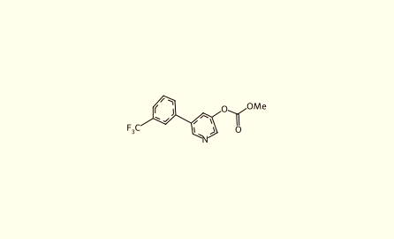 COC(=O)Oc1cncc(-c2cccc(C(F)(F)F)c2)c1